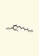 CCCCCCCCC(/C=C\CCCCCCC=O)[N+](=O)[O-]